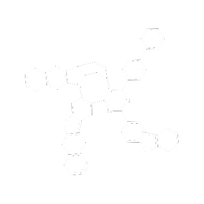 c1ccc2cc3oc4cc5c(cc4c3cc2c#1)C1=NC(c2ccc3oc4ccccc4c3c2)=NC(c2ccc(-c3ccccc3)cc2)N1C1=CC2C(C=C1)c1cc3ccccc3cc1N52